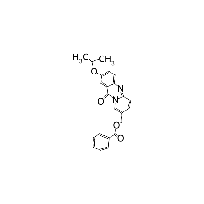 CC(C)Oc1ccc2nc3ccc(COC(=O)c4ccccc4)cn3c(=O)c2c1